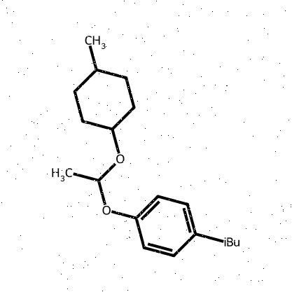 CCC(C)c1ccc(OC(C)OC2CCC(C)CC2)cc1